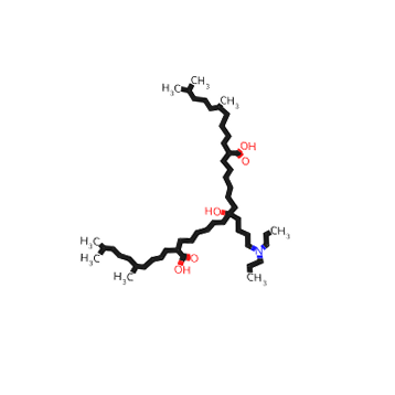 CCCN(CCC)CCCCC(O)(CCCCCCC(CCCCC(C)CCCC(C)C)C(=O)O)CCCCCCC(CCCCC(C)CCCC(C)C)C(=O)O